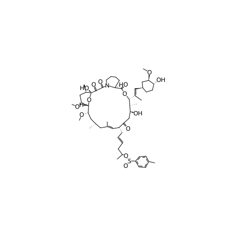 CO[C@H]1C[C@@H](C)C/C(C)=C/[C@@H](C/C=C/CC(C)OS(=O)c2ccc(C)cc2)C(=O)C[C@H](O)[C@@H](C)[C@@H](/C(C)=C/[C@@H]2CC[C@@H](O)[C@H](OC)C2)OC(=O)[C@@H]2CCCCN2C(=O)C(=O)[C@]2(O)O[C@H]1[C@@H](OC)C[C@H]2C